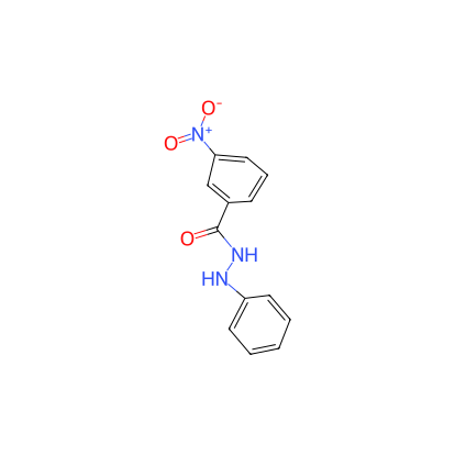 O=C(NNc1ccccc1)c1cccc([N+](=O)[O-])c1